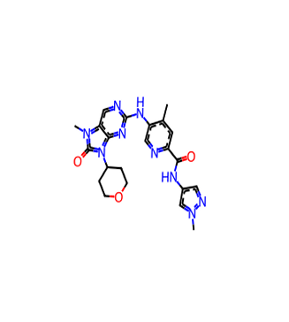 Cc1cc(C(=O)Nc2cnn(C)c2)ncc1Nc1ncc2c(n1)n(C1CCOCC1)c(=O)n2C